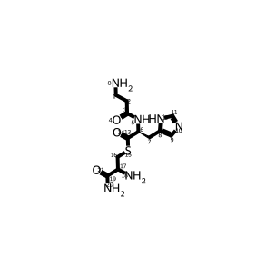 NCCC(=O)N[C@@H](Cc1cnc[nH]1)C(=O)SCC(N)C(N)=O